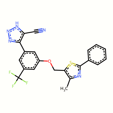 Cc1nc(-c2ccccc2)sc1COc1cc(-c2nn[nH]c2C#N)cc(C(F)(F)F)c1